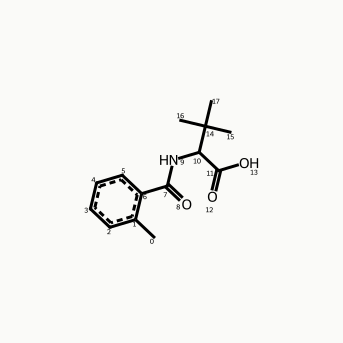 Cc1ccccc1C(=O)NC(C(=O)O)C(C)(C)C